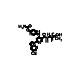 CC(C)(O)C(F)CNC(=O)c1cnc(-c2ccc3cc(C#N)cnn23)cc1Nc1ccc(OC(N)=O)nc1